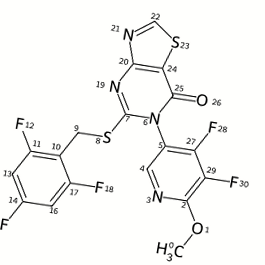 COc1ncc(-n2c(SCc3c(F)cc(F)cc3F)nc3ncsc3c2=O)c(F)c1F